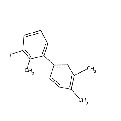 Cc1ccc(-c2cccc(I)c2C)cc1C